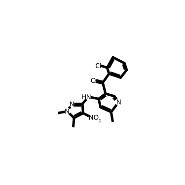 Cc1cc(Nc2nn(C)c(C)c2[N+](=O)[O-])c(C(=O)c2ccccc2Cl)cn1